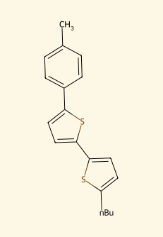 CCCCc1ccc(-c2ccc(-c3ccc(C)cc3)s2)s1